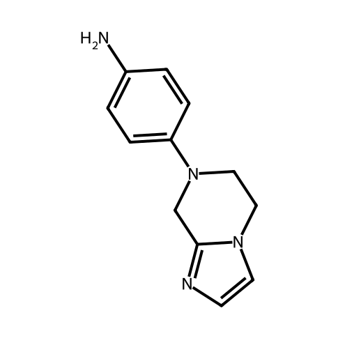 Nc1ccc(N2CCn3ccnc3C2)cc1